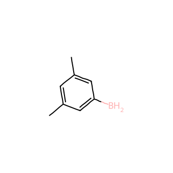 Bc1cc(C)cc(C)c1